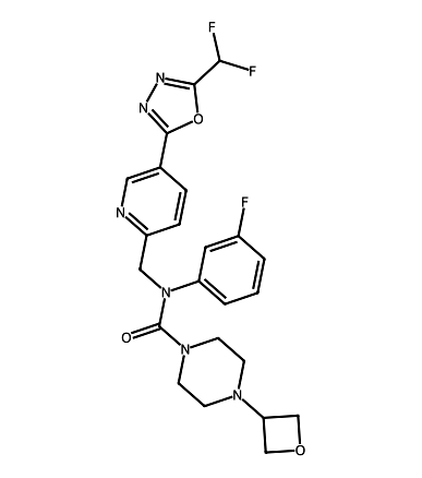 O=C(N1CCN(C2COC2)CC1)N(Cc1ccc(-c2nnc(C(F)F)o2)cn1)c1cccc(F)c1